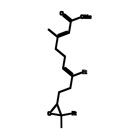 CCC(=CCCC(C)=CC(=O)OC)CCC1OC1(C)CC